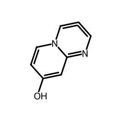 OC1=CC2=NC=C=CN2C=C1